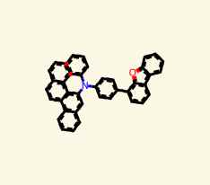 c1ccc(N(c2ccc(-c3cccc4c3oc3ccccc34)cc2)c2cc3ccccc3c3ccc4ccccc4c23)cc1